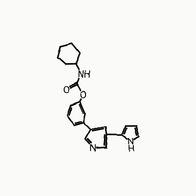 O=C(NC1CCCCC1)Oc1cccc(-c2cncc(-c3ccc[nH]3)c2)c1